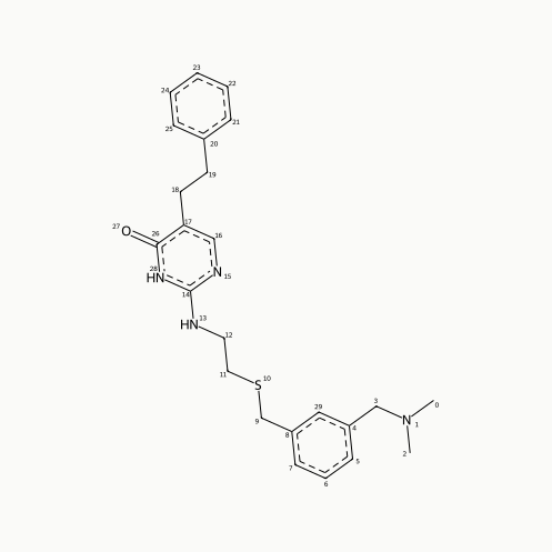 CN(C)Cc1cccc(CSCCNc2ncc(CCc3ccccc3)c(=O)[nH]2)c1